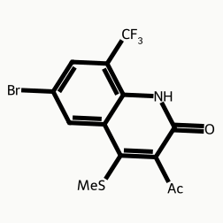 CSc1c(C(C)=O)c(=O)[nH]c2c(C(F)(F)F)cc(Br)cc12